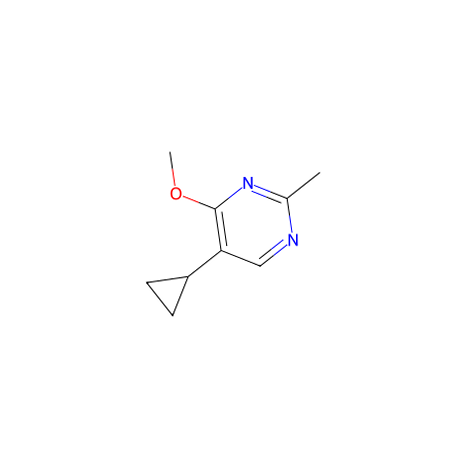 COc1nc(C)ncc1C1CC1